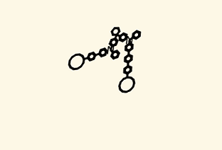 c1ccc(N(c2ccc(-c3ccc(-c4ccc(C5CCCCCCCCCCC5)cc4)cc3)cc2)c2ccc(C3(c4ccc(N(c5ccccc5)c5ccc(-c6ccc(C7CCCCCCCCCCC7)cc6)cc5)cc4)CCCCC3)cc2)cc1